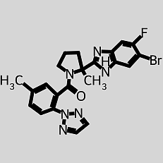 Cc1ccc(-n2nccn2)c(C(=O)N2CCCC2(C)c2nc3cc(F)c(Br)cc3[nH]2)c1